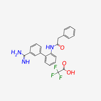 N=C(N)c1cccc(-c2ccccc2NC(=O)Cc2ccccc2)c1.O=C(O)C(F)(F)F